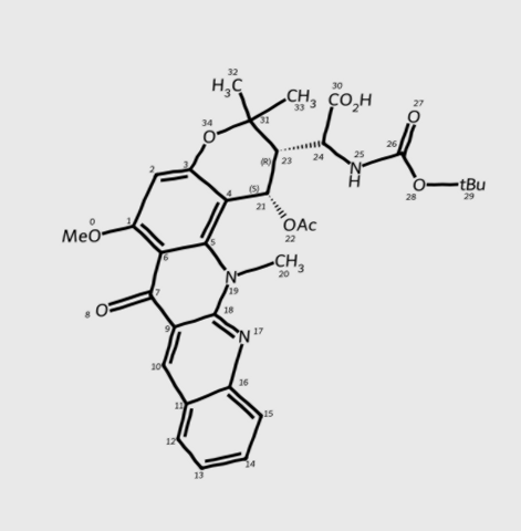 COc1cc2c(c3c1c(=O)c1cc4ccccc4nc1n3C)[C@@H](OC(C)=O)[C@@H](C(NC(=O)OC(C)(C)C)C(=O)O)C(C)(C)O2